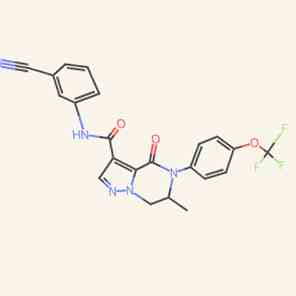 CC1Cn2ncc(C(=O)Nc3cccc(C#N)c3)c2C(=O)N1c1ccc(OC(F)(F)F)cc1